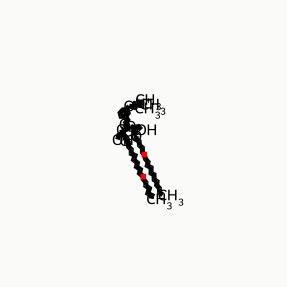 CCCCCCCCCCCCCCCCCCOCC(CO)OP(=O)(OCc1cccc(OCC[N+](C)(C)C)c1)OC(CO)COCCCCCCCCCCCCCCCCCC